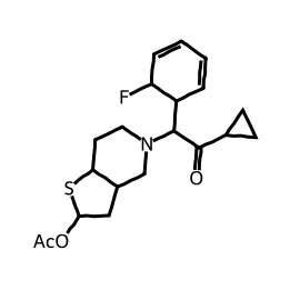 CC(=O)OC1CC2CN(C(C(=O)C3CC3)C3C=CC=CC3F)CCC2S1